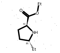 CCOC(=O)[C@@H]1CC[C@@H](CC)N1